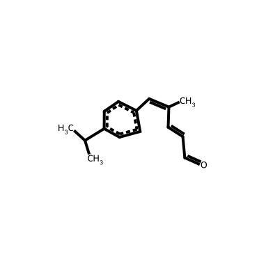 CC(C=CC=O)=Cc1ccc(C(C)C)cc1